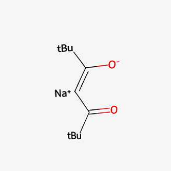 CC(C)(C)C(=O)/C=C(\[O-])C(C)(C)C.[Na+]